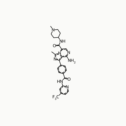 Cc1nc(-c2ccc(C(=O)Nc3cc(C(F)(F)F)ccn3)cc2)c2c(N)ncc(C(=O)NC3CCN(C)CC3)n12